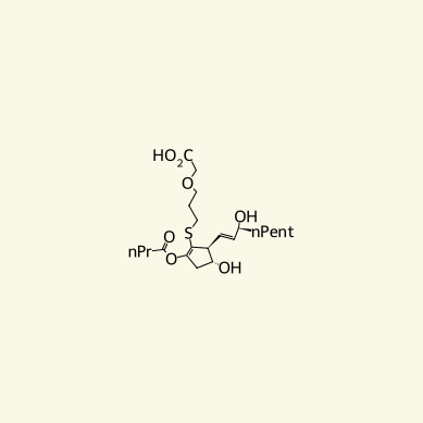 CCCCC[C@H](O)C=C[C@@H]1C(SCCCOCC(=O)O)=C(OC(=O)CCC)C[C@H]1O